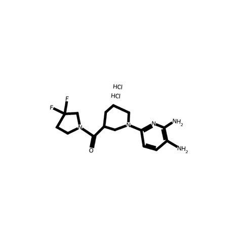 Cl.Cl.Nc1ccc(N2CCCC(C(=O)N3CCC(F)(F)C3)C2)nc1N